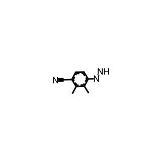 Cc1c(C#N)ccc(N=N)c1C